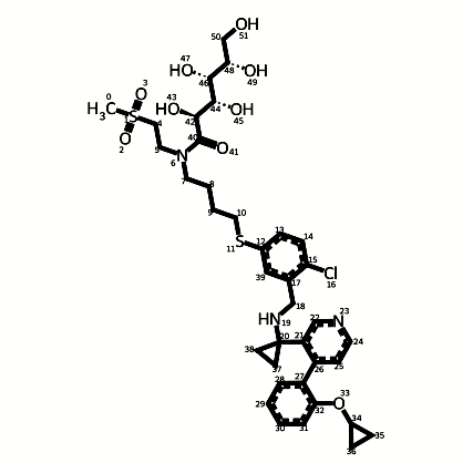 CS(=O)(=O)CCN(CCCCSc1ccc(Cl)c(CNC2(c3cnccc3-c3ccccc3OC3CC3)CC2)c1)C(=O)[C@@H](O)[C@@H](O)[C@H](O)[C@@H](O)CO